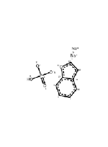 O=P([O-])([O-])O.[Na+].[Na+].c1ccc2occc2c1